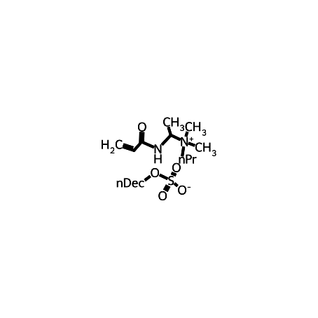 C=CC(=O)NC(C)[N+](C)(C)CCC.CCCCCCCCCCOS(=O)(=O)[O-]